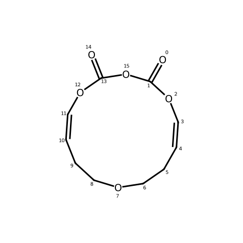 O=C1OC=CCCOCCC=COC(=O)O1